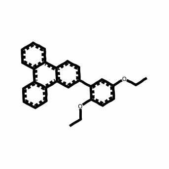 CCOc1ccc(OCC)c(-c2ccc3c4ccccc4c4ccccc4c3c2)c1